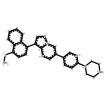 NSc1ccc(-c2cnn3cc(-c4ccc(N5CCNCC5)nc4)cnc23)c2ccccc12